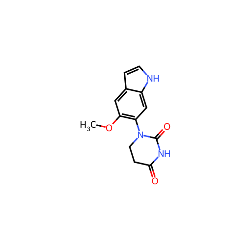 COc1cc2cc[nH]c2cc1N1CCC(=O)NC1=O